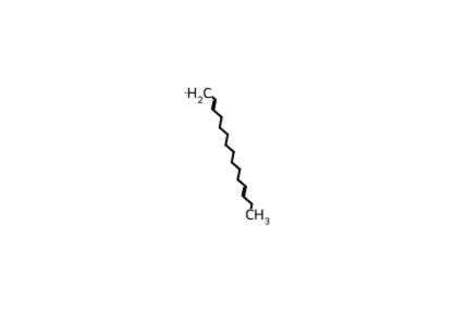 [CH2]C=CCCCCCCCCC=CCC